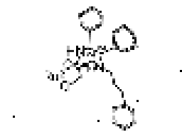 O=S(=O)(CCl)N[C@@H](c1ccccc1)[C@@H](NCCCc1ccccc1)c1ccccc1.[Ru+2]